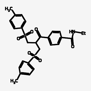 CCNC(=O)c1ccc(C(=O)C(CS(=O)(=O)c2ccc(C)cc2)CS(=O)(=O)c2ccc(C)cc2)cc1